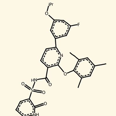 Cc1cc(C)c(Oc2nc(-c3cc(F)cc(OC(C)C)c3)ccc2C(=O)NS(=O)(=O)c2ccc[nH]c2=O)c(C)c1